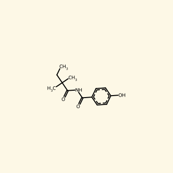 CCC(C)(C)C(=O)NC(=O)c1ccc(O)cc1